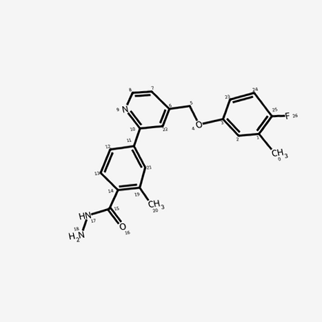 Cc1cc(OCc2ccnc(-c3ccc(C(=O)NN)c(C)c3)c2)ccc1F